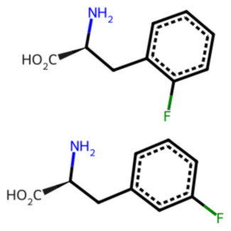 N[C@@H](Cc1cccc(F)c1)C(=O)O.N[C@@H](Cc1ccccc1F)C(=O)O